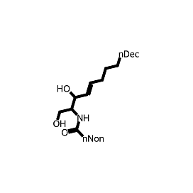 CCCCCCCCCCCCCC=CC(O)C(CO)NC(=O)CCCCCCCCC